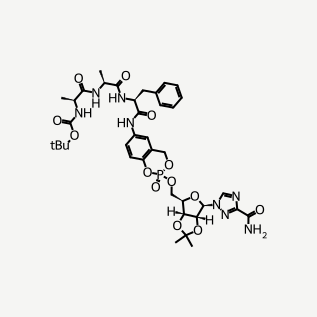 C[C@H](NC(=O)OC(C)(C)C)C(=O)N[C@@H](C)C(=O)N[C@@H](Cc1ccccc1)C(=O)Nc1ccc2c(c1)COP(=O)(OC[C@H]1O[C@@H](n3cnc(C(N)=O)n3)[C@@H]3OC(C)(C)O[C@@H]31)O2